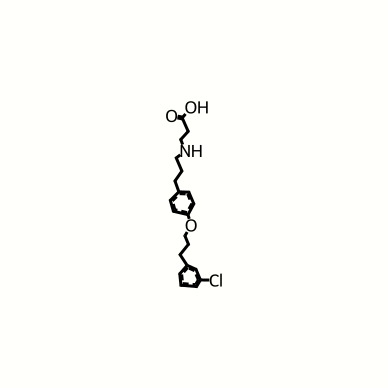 O=C(O)CCNCCCc1ccc(OCCCc2cccc(Cl)c2)cc1